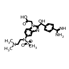 CN(C)CCN(c1ccc2c(c1)nc(C(O)c1ccc(C(=N)N)cc1)n2CC(=O)O)S(C)(=O)=O